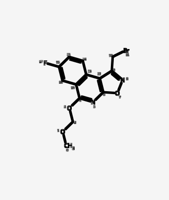 COCOc1nc2onc(CBr)c2c2ccc(F)cc12